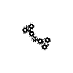 c1ccc2c(c1)Oc1ccccc1N2c1ccc(-c2cn(-c3ccc(N4c5ccccc5Sc5ccccc54)cc3)nn2)cc1